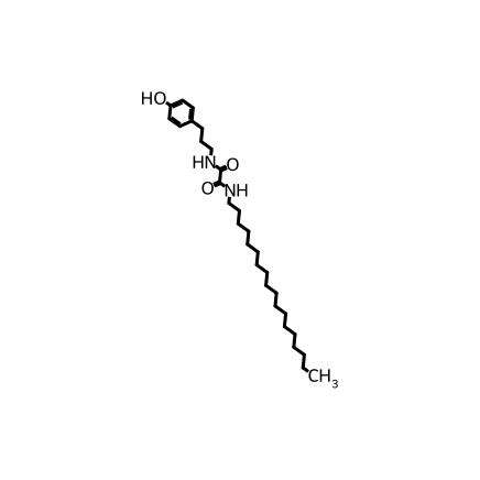 CCCCCCCCCCCCCCCCCCNC(=O)C(=O)NCCCc1ccc(O)cc1